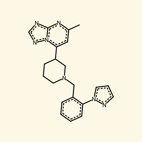 Cc1cc(C2CCCN(Cc3ccccc3-n3cccn3)C2)n2ncnc2n1